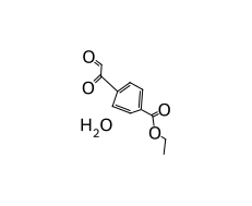 CCOC(=O)c1ccc(C(=O)C=O)cc1.O